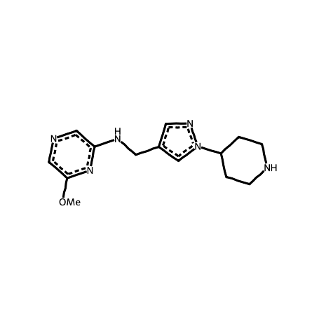 COc1cncc(NCc2cnn(C3CCNCC3)c2)n1